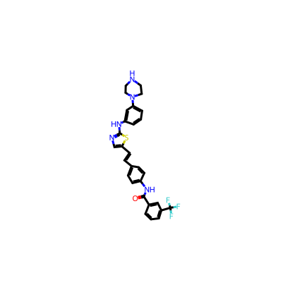 O=C(Nc1ccc(C=Cc2cnc(Nc3cccc(N4CCNCC4)c3)s2)cc1)c1cccc(C(F)(F)F)c1